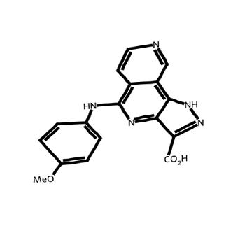 COc1ccc(Nc2nc3c(C(=O)O)n[nH]c3c3cnccc23)cc1